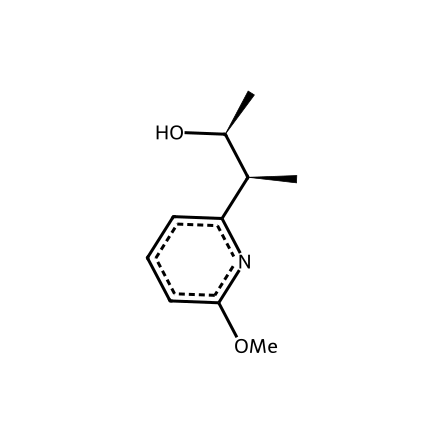 COc1cccc([C@H](C)[C@H](C)O)n1